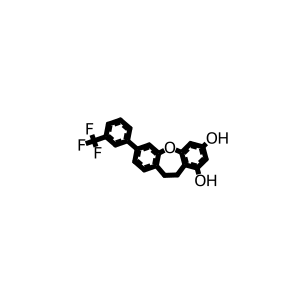 Oc1cc(O)c2c(c1)Oc1cc(-c3cccc(C(F)(F)F)c3)ccc1CC2